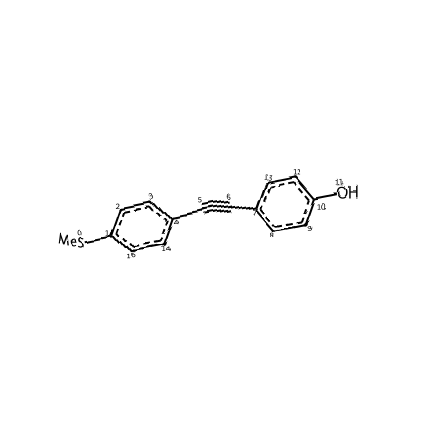 CSc1ccc(C#Cc2ccc(O)cc2)cc1